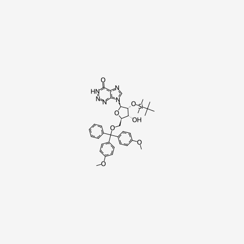 COc1ccc(C(OC[C@H]2O[C@@H](n3cnc4c(=O)[nH]nnc43)[C@H](O[Si](C)(C)C(C)(C)C)[C@@H]2O)(c2ccccc2)c2ccc(OC)cc2)cc1